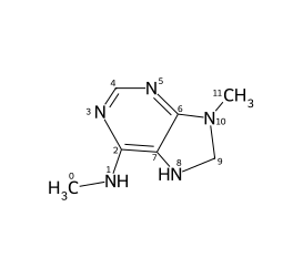 CNc1ncnc2c1NCN2C